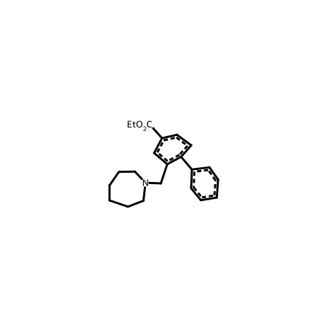 CCOC(=O)c1ccc(-c2ccccc2)c(CN2CCCCCC2)c1